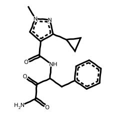 Cn1cc(C(=O)NC(Cc2ccccc2)C(=O)C(N)=O)c(C2CC2)n1